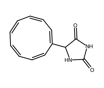 O=C1NC(=O)C(c2ccccccccc2)N1